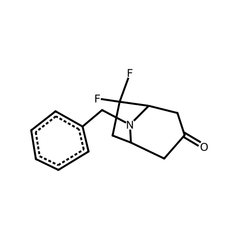 O=C1CC2CC(F)(F)C(C1)N2Cc1ccccc1